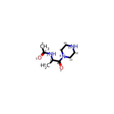 [CH2]C(NC(C)=O)C(=O)N1CCNCC1